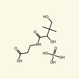 CC(C)(CO)C(O)C(=O)NCCC(=O)O.O=P(O)(O)O